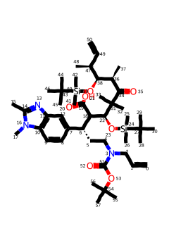 C=CCN(CC[C@H](c1ccc2c(c1)nc(C)n2C)C(C(=O)O)[C@H](O[Si](C)(C)C(C)(C)C)C(C)(C)C(=O)[C@H](C)[C@@H](O[Si](C)(C)C(C)(C)C)[C@@H](C)C=C)C(=O)OC(C)(C)C